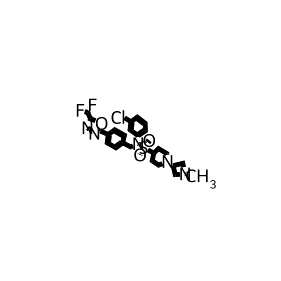 CN1CC(N2CCC(S(=O)(=O)N(Cc3ccc(-c4nnc(C(F)F)o4)cc3)c3cccc(Cl)c3)CC2)C1